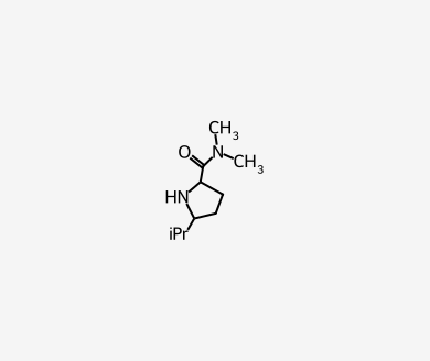 CC(C)C1CCC(C(=O)N(C)C)N1